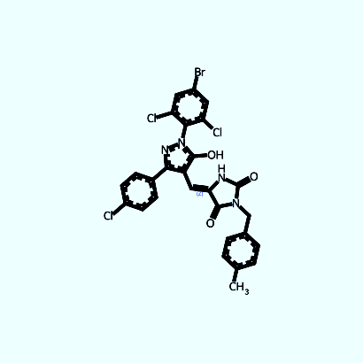 Cc1ccc(CN2C(=O)N/C(=C\c3c(-c4ccc(Cl)cc4)nn(-c4c(Cl)cc(Br)cc4Cl)c3O)C2=O)cc1